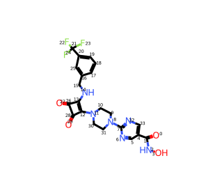 O=C(NO)c1cnc(N2CCN(c3c(NCc4cccc(C(F)(F)F)c4)c(=O)c3=O)CC2)nc1